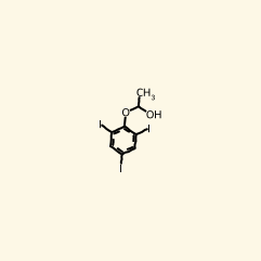 CC(O)Oc1c(I)cc(I)cc1I